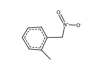 Cc1ccccc1C[N+](=O)[O-]